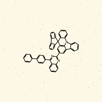 c1ccc(-c2ccc(-c3nc(-c4cc5c6c(c4)c4ccccc4n6-c4ccccc4C54c5ccccc5-c5ccccc54)nc4ccccc34)cc2)cc1